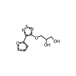 OCC(O)COc1nsnc1-c1ccco1